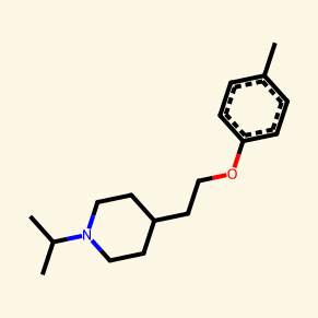 Cc1ccc(OCCC2CCN(C(C)C)CC2)cc1